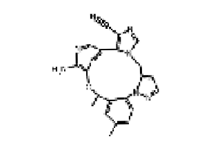 Cc1ccc2c(c1)C(C)Oc1cc(cnc1N)-c1c(C#N)ncn1Cc1ccnn1-2